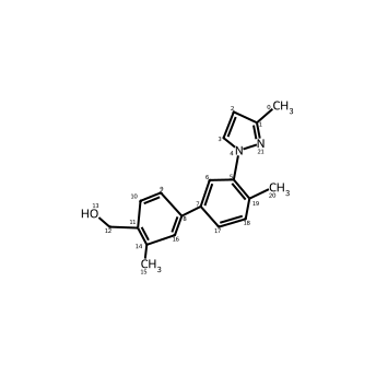 Cc1ccn(-c2cc(-c3ccc(CO)c(C)c3)ccc2C)n1